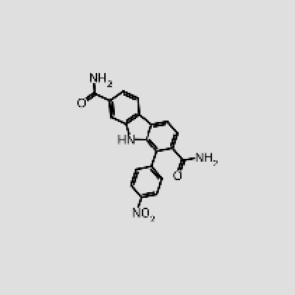 NC(=O)c1ccc2c(c1)[nH]c1c(-c3ccc([N+](=O)[O-])cc3)c(C(N)=O)ccc12